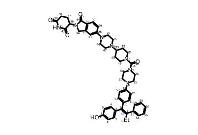 CC/C(=C(\c1ccc(O)cc1)c1ccc(N2CCN(C(=O)N3CCC(N4CCN(c5ccc6c(c5)CN(C5CCC(=O)NC5=O)C6=O)CC4)CC3)CC2)cc1)c1ccccc1